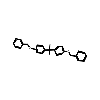 FC(F)(c1ccc(OCc2ccccc2)cc1)c1ccc(OCc2ccccc2)cc1